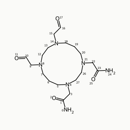 NC(=O)CN1CCCN(CC=O)CCN(CC=O)CCCN(CC(N)=O)CC1